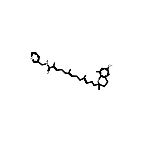 C/C(=C\CC/C(C)=C/CCC1(C)CCc2cc(O)cc(C)c2O1)CC/C=C(\C)C(=O)NCc1cccnc1